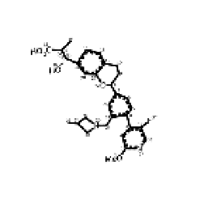 COc1cc(-c2ccc(C3CCc4ccc([C@H](O)[C@H](C)C(=O)O)cc4O3)cc2CN2CC(C)C2)c(F)cn1